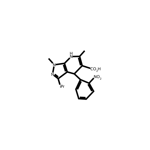 CC1=C(C(=O)O)C(c2ccccc2[N+](=O)[O-])c2c(C(C)C)nn(C)c2N1